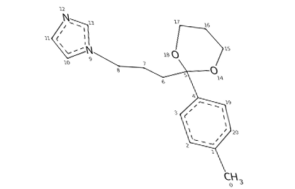 Cc1ccc(C2(CCCn3ccnc3)OCCCO2)cc1